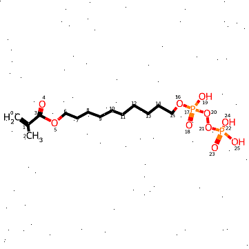 C=C(C)C(=O)OCCCCCCCCCCOP(=O)(O)OOP(=O)(O)O